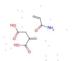 C=C(CC(=O)O)C(=O)O.C=CC(N)=O